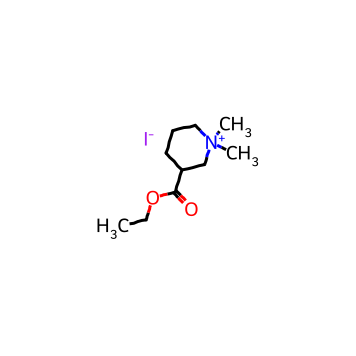 CCOC(=O)C1CCC[N+](C)(C)C1.[I-]